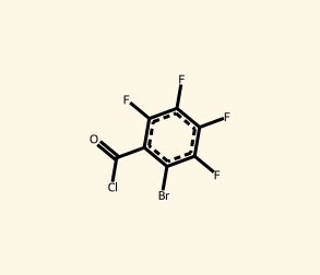 O=C(Cl)c1c(F)c(F)c(F)c(F)c1Br